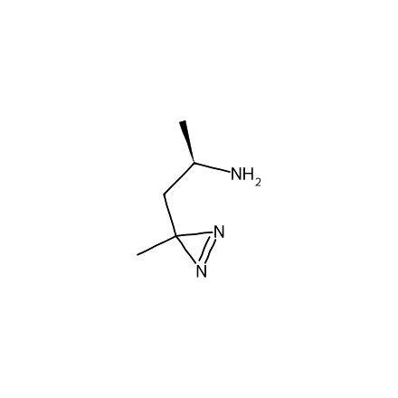 C[C@@H](N)CC1(C)N=N1